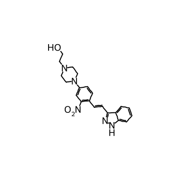 O=[N+]([O-])c1cc(N2CCN(CCO)CC2)ccc1C=Cc1n[nH]c2ccccc12